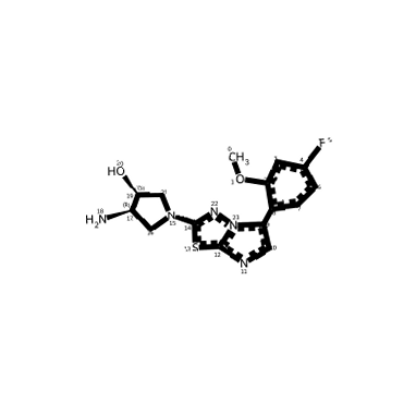 COc1cc(F)ccc1-c1cnc2sc(N3C[C@@H](N)[C@@H](O)C3)nn12